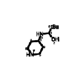 CC(C)(C)C(O)NC1CCNCC1